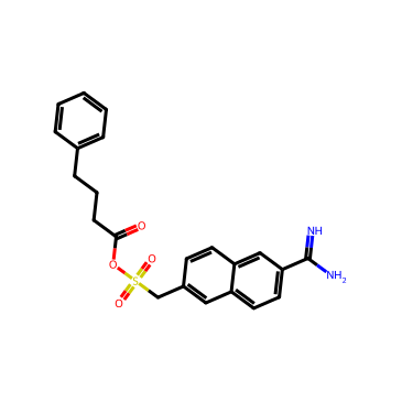 N=C(N)c1ccc2cc(CS(=O)(=O)OC(=O)CCCc3ccccc3)ccc2c1